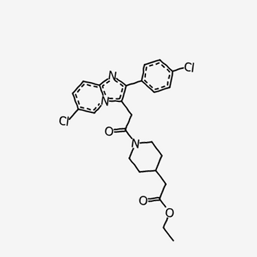 CCOC(=O)CC1CCN(C(=O)Cc2c(-c3ccc(Cl)cc3)nc3ccc(Cl)cn23)CC1